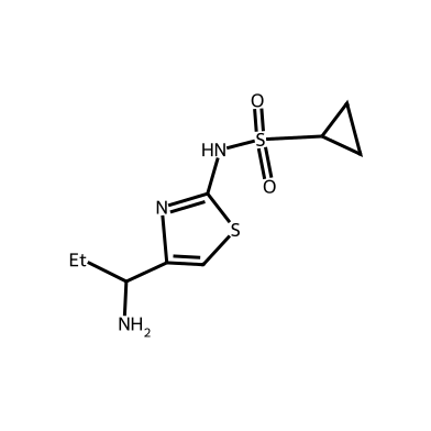 CCC(N)c1csc(NS(=O)(=O)C2CC2)n1